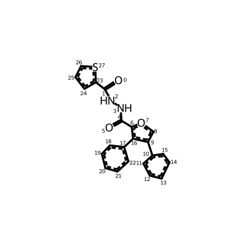 O=C(NNC(=O)c1occ(-c2ccccc2)c1-c1ccccc1)c1cccs1